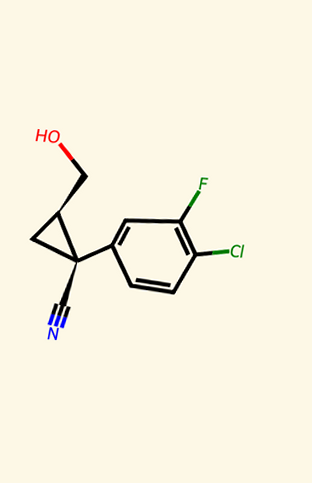 N#C[C@@]1(c2ccc(Cl)c(F)c2)C[C@H]1CO